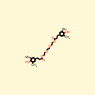 CCCCc1cc(CCC(=O)OCCOCCOCCOC(=O)CCc2cc(C)c(O)c(C(C)(C)C)c2)cc(C)c1O